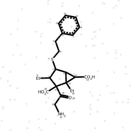 CCC1C(SCCc2ccccc2)C2C(C(=O)O)C2(CC)C1(C(=O)O)C(=O)CN